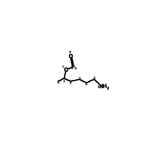 CC(CCCCN)OP=O